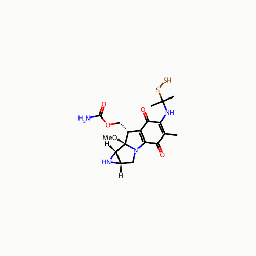 CO[C@@]12[C@H](COC(N)=O)C3=C(C(=O)C(C)=C(NC(C)(C)SS)C3=O)N1C[C@@H]1N[C@@H]12